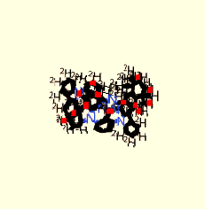 [2H]c1c([2H])c(-c2nc(-c3c(-n4c5c([2H])c([2H])c([2H])c([2H])c5c5c([2H])c([2H])c([2H])c([2H])c54)cccc3-n3c4c([2H])c([2H])c([2H])c([2H])c4c4c([2H])c([2H])c([2H])c([2H])c43)nc(-c3c([2H])c([2H])c4c(c3[2H])C(C([2H])([2H])[2H])(C([2H])([2H])[2H])C([2H])([2H])C([2H])([2H])C4(C([2H])([2H])[2H])C([2H])([2H])[2H])n2)c([2H])c(-n2c3c([2H])c([2H])c([2H])c([2H])c3c3c([2H])c([2H])c([2H])c([2H])c32)c1[2H]